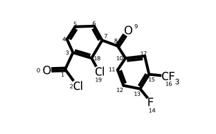 O=C(Cl)c1cccc(C(=O)c2ccc(F)c(C(F)(F)F)c2)c1Cl